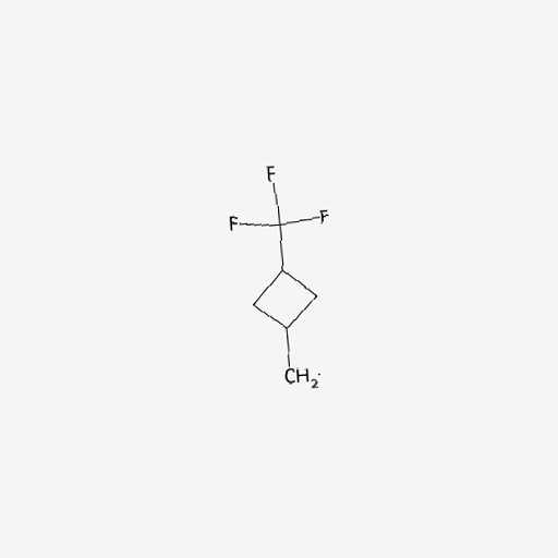 [CH2]C1CC(C(F)(F)F)C1